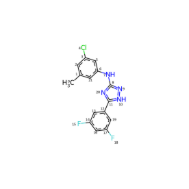 Cc1cc(Cl)cc(Nc2n[nH]c(-c3cc(F)cc(F)c3)n2)c1